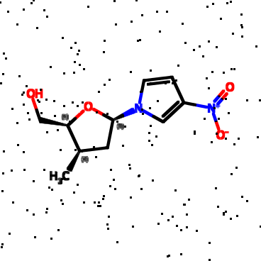 C[C@@H]1C[C@H](n2ccc([N+](=O)[O-])c2)O[C@@H]1CO